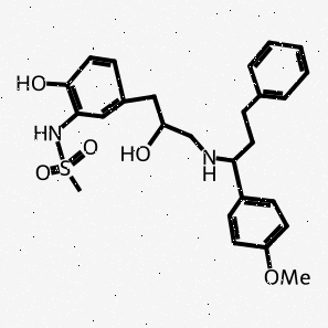 COc1ccc(C(CCc2ccccc2)NCC(O)Cc2ccc(O)c(NS(C)(=O)=O)c2)cc1